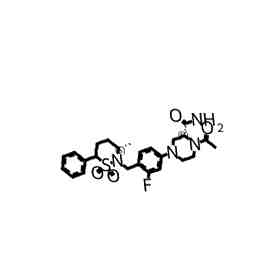 CC(=O)N1CCN(c2ccc(CN3[C@@H](C)CCC(c4ccccc4)S3(=O)=O)c(F)c2)C[C@@H]1C(N)=O